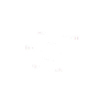 OC[C@@H]1S[C@H](O)[C@H](O)[C@H](O)[C@@H]1O